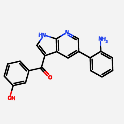 Nc1ccccc1-c1cnc2[nH]cc(C(=O)c3cccc(O)c3)c2c1